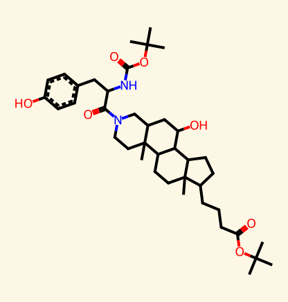 CC(C)(C)OC(=O)CCCC1CCC2C3C(O)CC4CN(C(=O)C(Cc5ccc(O)cc5)NC(=O)OC(C)(C)C)CCC4(C)C3CCC12C